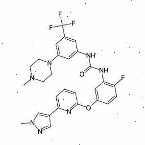 CN1CCN(c2cc(NC(=O)Nc3cc(Oc4cccc(-c5cnn(C)c5)n4)ccc3F)cc(C(F)(F)F)c2)CC1